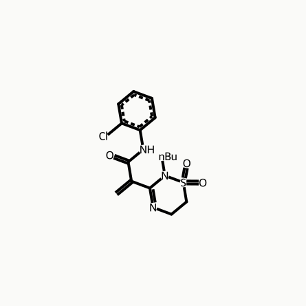 C=C(C(=O)Nc1ccccc1Cl)C1=NCCS(=O)(=O)N1CCCC